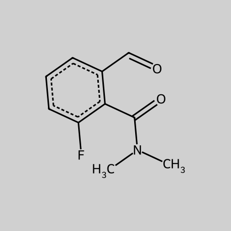 CN(C)C(=O)c1c(F)cccc1C=O